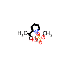 C=C(C)c1ccccn1.COS(=O)(=O)O